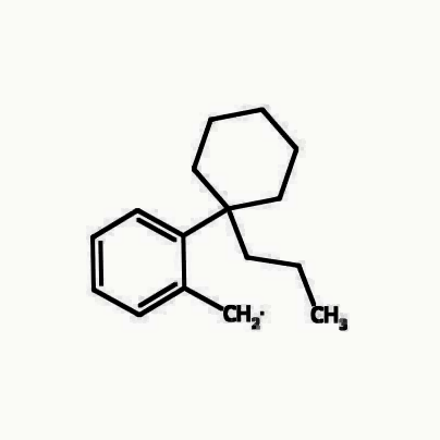 [CH2]c1ccccc1C1(CCC)CCCCC1